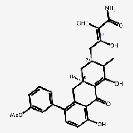 COc1cccc(-c2ccc(O)c3c2C[C@H]2C[C@@H](C/C(O)=C(\C=O)C(N)=O)C(C)C(O)=C2C3=O)c1